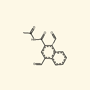 CC(=O)NC(=O)c1cc(C=O)c2ccccc2c1C=O